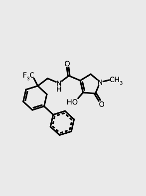 CN1CC(C(=O)NCC2(C(F)(F)F)C=CC=C(c3ccccc3)C2)=C(O)C1=O